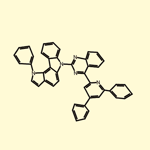 c1ccc(-c2cc(-c3ccccc3)nc(-c3nc(-n4c5ccccc5c5c6c(ccc54)ccn6-c4ccccc4)nc4ccccc34)c2)cc1